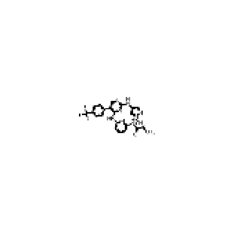 C=CC(=O)Nc1cccc(Nc2nc(Nc3cnn(C)c3)ncc2-c2ccc(C(F)(F)F)cc2)n1